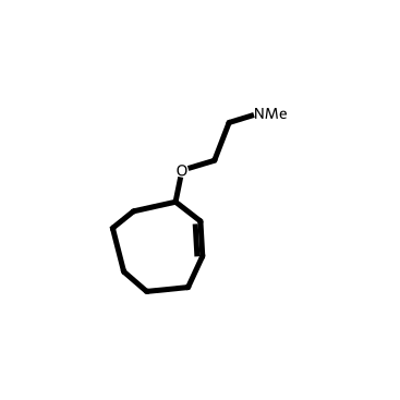 CNCCOC1/C=C\CCCCC1